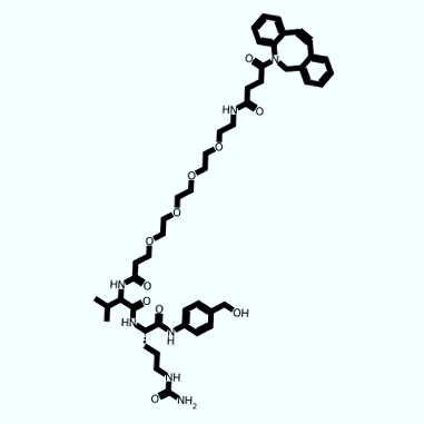 CC(C)C(NC(=O)CCOCCOCCOCCOCCNC(=O)CCC(=O)N1Cc2ccccc2C#Cc2ccccc21)C(=O)N[C@@H](CCCNC(N)=O)C(=O)Nc1ccc(CO)cc1